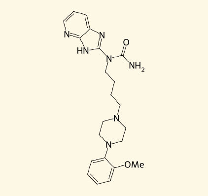 COc1ccccc1N1CCN(CCCCN(C(N)=O)c2nc3cccnc3[nH]2)CC1